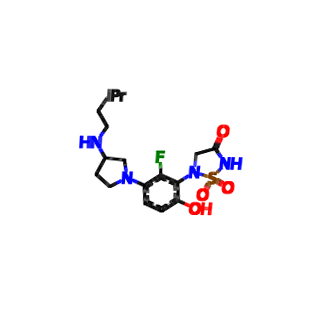 CC(C)CCNC1CCN(c2ccc(O)c(N3CC(=O)NS3(=O)=O)c2F)C1